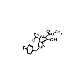 COC(=O)c1nc(C(C)=O)c2cc(Cc3ccc(F)cc3)cnc2c1O